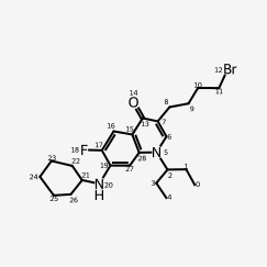 CCC(CC)n1cc(CCCCBr)c(=O)c2cc(F)c(NC3CCCCC3)cc21